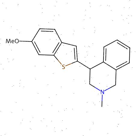 COc1ccc2cc(C3CN(C)Cc4ccccc43)sc2c1